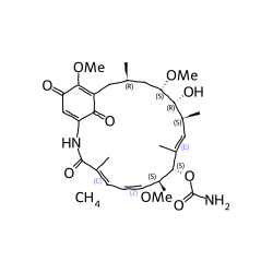 C.COC1=C2C[C@@H](C)C[C@H](OC)[C@H](O)[C@@H](C)/C=C(\C)[C@H](OC(N)=O)[C@@H](OC)/C=C\C=C(/C)C(=O)NC(=CC1=O)C2=O